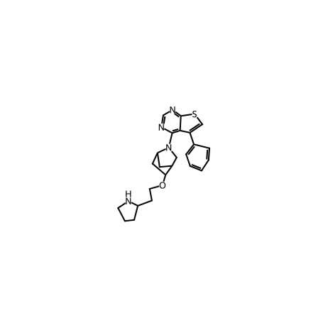 c1ccc(-c2csc3ncnc(N4CC5CC4CC5OCCC4CCCN4)c23)cc1